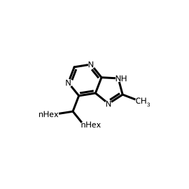 CCCCCCC(CCCCCC)c1ncnc2[nH]c(C)nc12